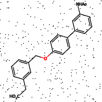 CC(=O)Nc1cccc(-c2ccc(OCc3cccc(CC(=O)O)c3)cc2)c1